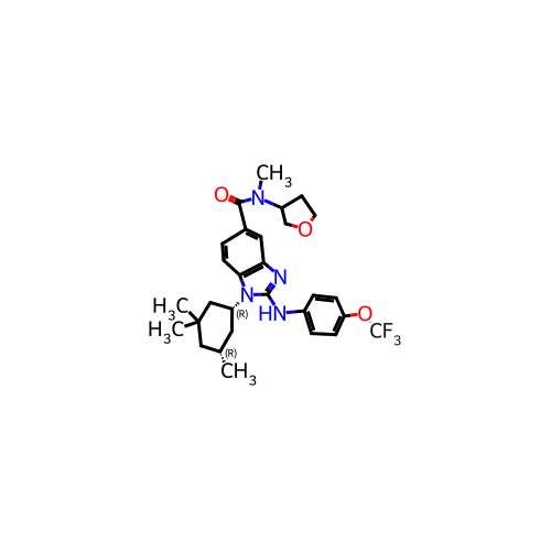 C[C@H]1C[C@@H](n2c(Nc3ccc(OC(F)(F)F)cc3)nc3cc(C(=O)N(C)C4CCOC4)ccc32)CC(C)(C)C1